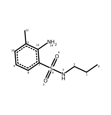 CCCNS(=O)(=O)c1cccc(C)c1N